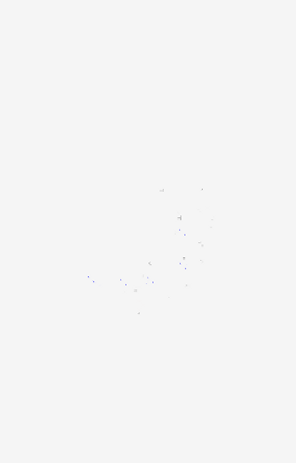 N=CNC(=O)N1CCN(Cc2ccc3ccccc3n2)CC1